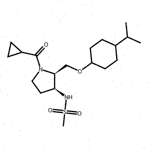 CC(C)C1CCC(OC[C@H]2[C@@H](NS(C)(=O)=O)CCN2C(=O)C2CC2)CC1